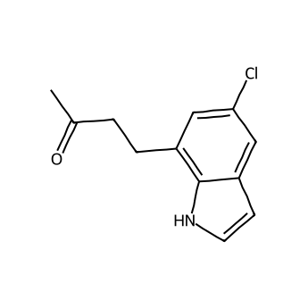 CC(=O)CCc1cc(Cl)cc2cc[nH]c12